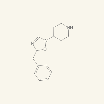 C1=NC(Cc2ccccc2)ON1C1CCNCC1